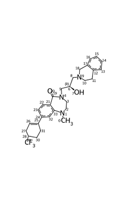 CN1CCN(C[C@H](O)CN2CCc3ccccc3C2)C(=O)c2ccc(C3=CCC(C(F)(F)F)CC3)cc21